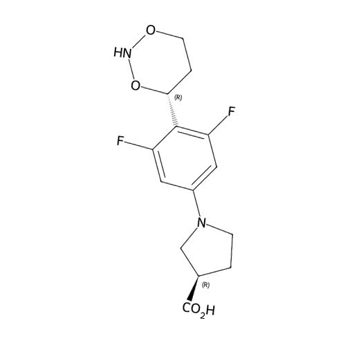 O=C(O)[C@@H]1CCN(c2cc(F)c([C@H]3CCONO3)c(F)c2)C1